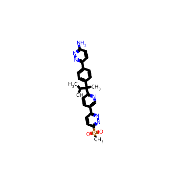 CC(C)C(C)(c1ccc(-c2ccc(N)nn2)cc1)c1ccc(-c2ccc(S(C)(=O)=O)nn2)cn1